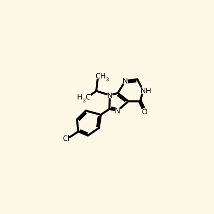 CC(C)n1c(-c2ccc(Cl)cc2)nc2c(=O)[nH]cnc21